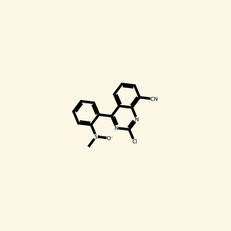 C[S+]([O-])c1ccccc1-c1nc(Cl)nc2c(C#N)cccc12